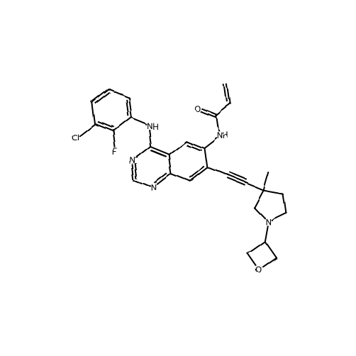 C=CC(=O)Nc1cc2c(Nc3cccc(Cl)c3F)ncnc2cc1C#CC1(C)CCN(C2COC2)C1